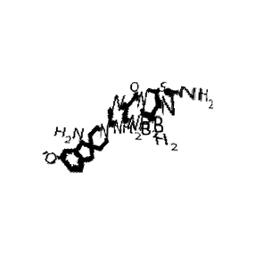 BC1(B)CN(C(=O)c2ncc(N3CCC4(CC3)Cc3ccc(OC)cc3C4N)nc2N)Cc2sc(N)nc21